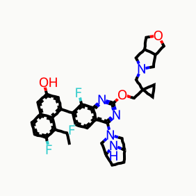 CCc1c(F)ccc2cc(O)cc(-c3c(F)cc4c(N5CC6CCC(C5)N6)nc(OCC5(CN6CC7COCC7C6)CC5)nc4c3F)c12